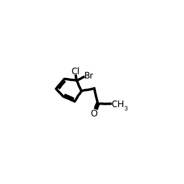 CC(=O)CC1C=CC=CC1(Cl)Br